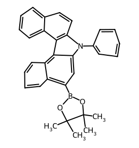 CC1(C)OB(c2cc3c(c4ccccc24)c2c4ccccc4ccc2n3-c2ccccc2)OC1(C)C